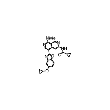 CNc1ncc(-c2nc3cc(OC4CC4)ccc3o2)c2cc(NC(=O)C3CC3)ncc12